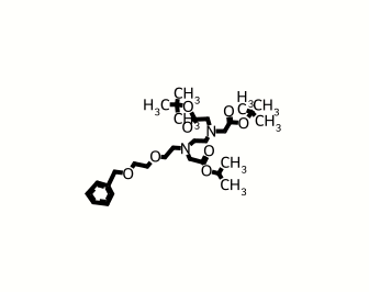 CC(C)OC(=O)CN(CCOCCOCc1ccccc1)CCN(CC(=O)OC(C)(C)C)CC(=O)OC(C)(C)C